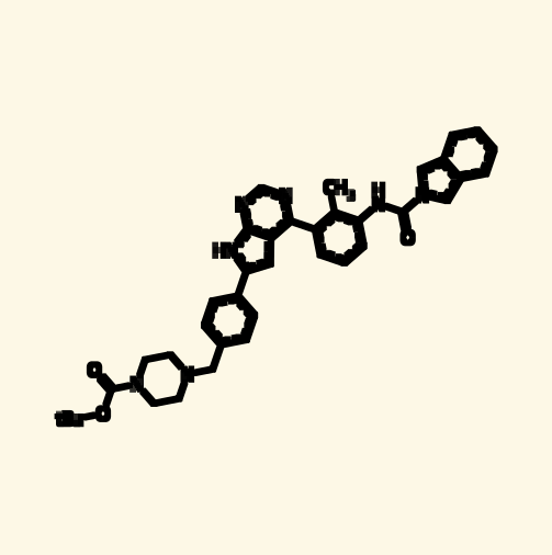 Cc1c(NC(=O)n2cc3ccccc3c2)cccc1-c1ncnc2[nH]c(-c3ccc(CN4CCN(C(=O)OC(C)(C)C)CC4)cc3)cc12